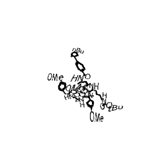 CCCCc1ccc(-c2ccc(C(=O)NC(C)CC(=O)N[C@@H](CCCCNC(=O)OC(C)(C)C)C(=O)N(C)[C@H](C(=O)N[C@@H](C)C(=O)N[C@@H](Cc3ccc(OC)cc3)C(=O)OC)c3ccc(OC)cc3)cc2)cc1